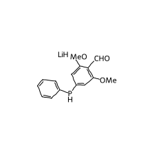 COc1cc(Pc2ccccc2)cc(OC)c1C=O.[LiH]